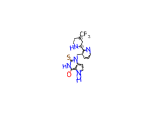 O=c1[nH]c(=S)n(Cc2cccnc2[C@@H]2C[C@H](C(F)(F)F)CCN2)c2cc[nH]c12